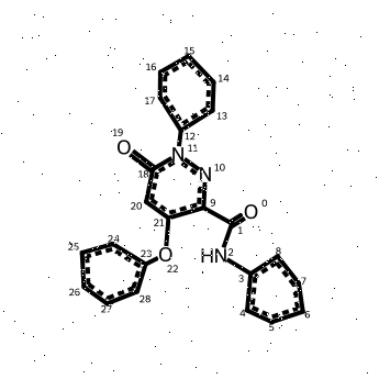 O=C(Nc1ccccc1)c1nn(-c2ccccc2)c(=O)cc1Oc1ccccc1